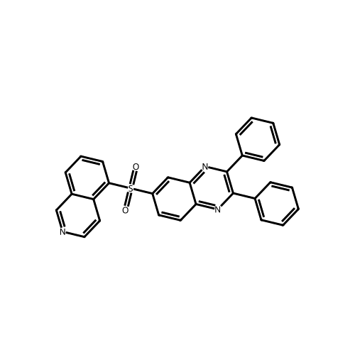 O=S(=O)(c1ccc2nc(-c3ccccc3)c(-c3ccccc3)nc2c1)c1cccc2cnccc12